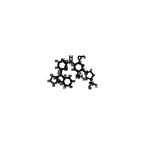 COc1cc(N2CCC(N(C)C)C2)c(N)cc1Nc1nccc(-c2c3n(c4ccccc24)CCC3)n1